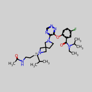 CCN(C(=O)c1cc(F)ccc1Oc1nncnc1N1CCC2(C1)CN([C@@H](CCCNC(C)=O)C(C)C)C2)C(C)C